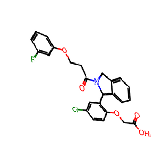 O=C(O)COc1ccc(Cl)cc1C1c2ccccc2CN1C(=O)CCOc1cccc(F)c1